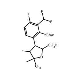 COc1c(C2C(C(=O)O)OC(C)(C(F)(F)F)C2C)ccc(F)c1C(F)F